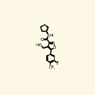 O=C(NC1CCCC1)c1noc(-c2ccc(C(F)(F)F)c(F)c2)c1CO